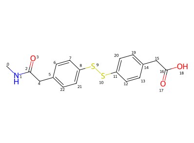 CNC(=O)Cc1ccc(SSc2ccc(CC(=O)O)cc2)cc1